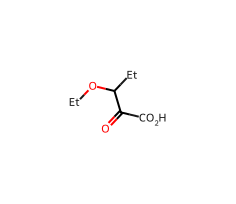 CCOC(CC)C(=O)C(=O)O